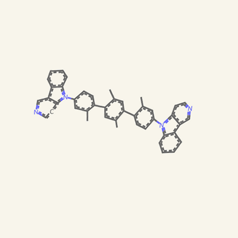 Cc1cc(-n2c3ccccc3c3cnccc32)ccc1-c1cc(C)c(-c2ccc(-n3c4ccccc4c4cnccc43)cc2C)cc1C